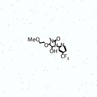 COCCOC1C(O)N(c2cc(C(F)(F)F)ccn2)C(=O)N1C